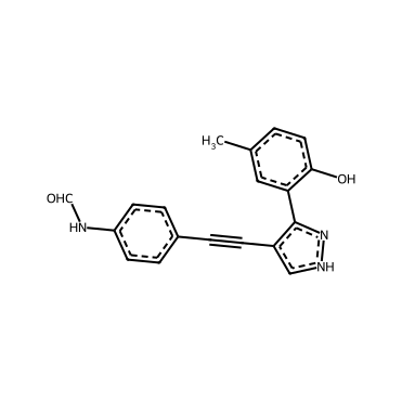 Cc1ccc(O)c(-c2n[nH]cc2C#Cc2ccc(NC=O)cc2)c1